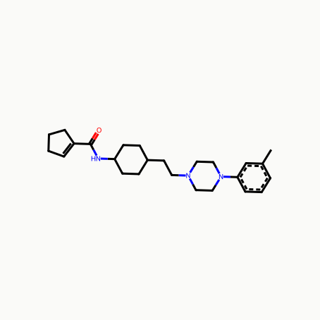 Cc1cccc(N2CCN(CCC3CCC(NC(=O)C4=CCCC4)CC3)CC2)c1